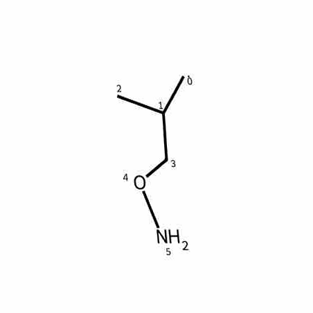 [CH2]C(C)CON